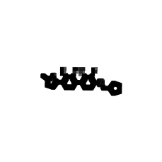 Cc1ccc(-c2ccc(-c3ccc(OCC4CCCC4)c(F)c3F)c(F)c2F)s1